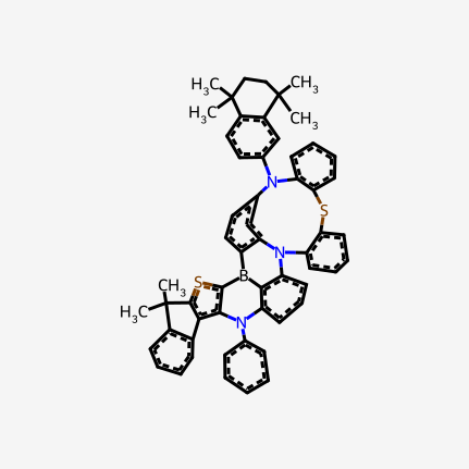 CC1(C)CCC(C)(C)c2cc(N3c4ccc5c(c4)N(c4ccccc4Sc4ccccc43)c3cccc4c3B5c3sc5c(c3N4c3ccccc3)-c3ccccc3C5(C)C)ccc21